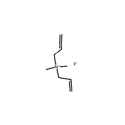 C=CC[N+](C)(C)CC=C.[F-]